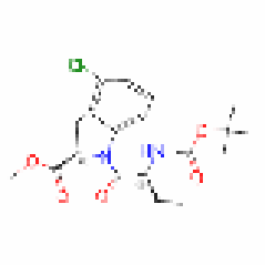 CC[C@H](NC(=O)OC(C)(C)C)C(=O)N1c2cccc(Cl)c2C[C@@H]1C(=O)OC